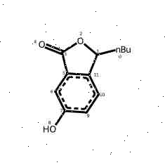 CCCCC1OC(=O)c2cc(O)ccc21